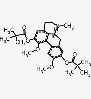 COc1cc2c(cc1OC(=O)C(C)(C)C)C[C@H]1c3c(cc(OC(=O)C(C)(C)C)c(OC)c3-2)CCN1C